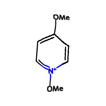 COc1cc[n+](OC)cc1